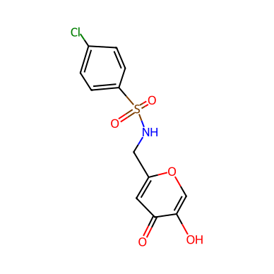 O=c1cc(CNS(=O)(=O)c2ccc(Cl)cc2)occ1O